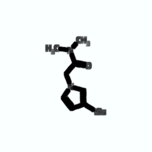 CN(C)C(=O)Cn1ccc(C(C)(C)C)c1